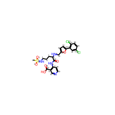 CS(=O)(=O)NCCCC(NCc1ccc(-c2cc(Cl)ccc2Cl)o1)C(=O)Nc1ccncc1C(=O)O